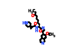 CCC(=O)CCCCC[C@H](NC(=O)C1CC12CCNCC2)c1ncc(-c2cc3ccncc3cc2OC)o1